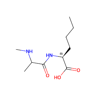 CCCC[C@H](NC(=O)C(C)NC)C(=O)O